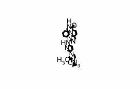 CC1(C)CN(c2ccc(Nc3ncc4c(n3)N3C(C=C4)C(=O)NCC34CCCCC4)nc2)CCN1C1CC1